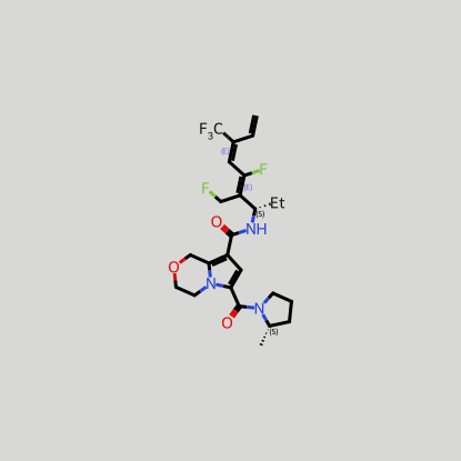 C=C/C(=C\C(F)=C(/CF)[C@H](CC)NC(=O)c1cc(C(=O)N2CCC[C@@H]2C)n2c1COCC2)C(F)(F)F